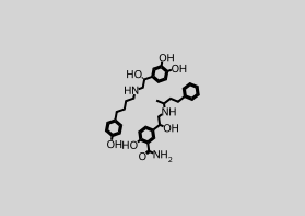 CC(CCc1ccccc1)NCC(O)c1ccc(O)c(C(N)=O)c1.Oc1ccc(CCCCNC[C@H](O)c2ccc(O)c(O)c2)cc1